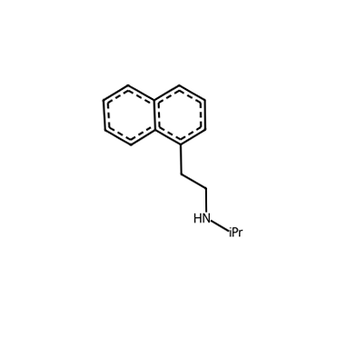 CC(C)NCCc1cccc2ccccc12